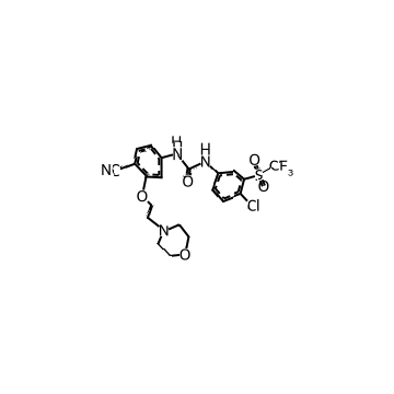 N#Cc1ccc(NC(=O)Nc2ccc(Cl)c(S(=O)(=O)C(F)(F)F)c2)cc1OCCN1CCOCC1